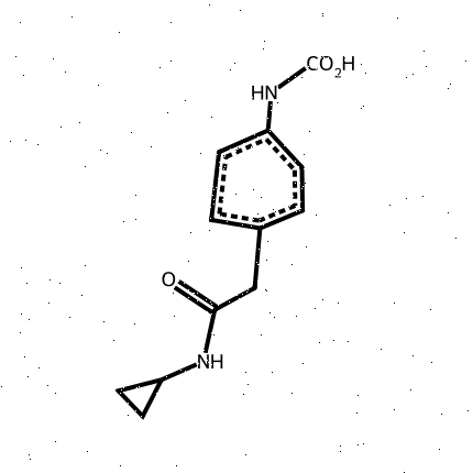 O=C(O)Nc1ccc(CC(=O)NC2CC2)cc1